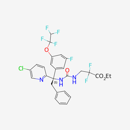 CCOC(=O)C(F)(F)CNC(=O)N[C@@](Cc1ccccc1)(c1cc(F)cc(OC(F)(F)C(F)F)c1)c1ccc(Cl)cn1